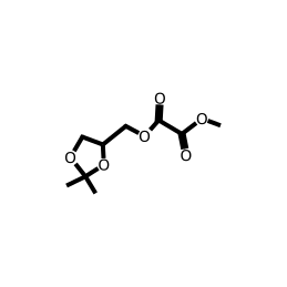 COC(=O)C(=O)OCC1COC(C)(C)O1